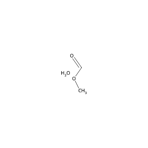 COC=O.O